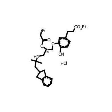 CCOC(=O)CCc1ccc(C#N)c(OC[C@@H](CNC(C)(C)CC2Cc3ccccc3C2)OC(=O)CC(C)C)c1.Cl